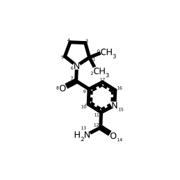 CC1(C)CCCN1C(=O)c1[c]c(C(N)=O)ncc1